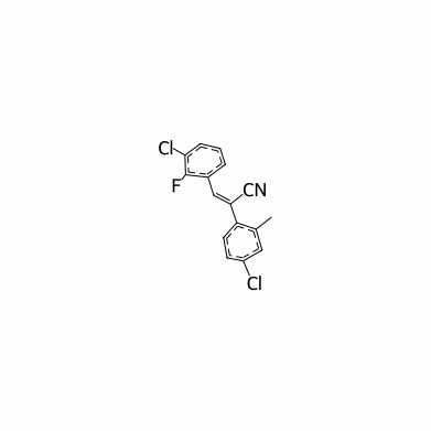 Cc1cc(Cl)ccc1/C(C#N)=C/c1cccc(Cl)c1F